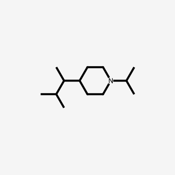 CC(C)C(C)C1CCN(C(C)C)CC1